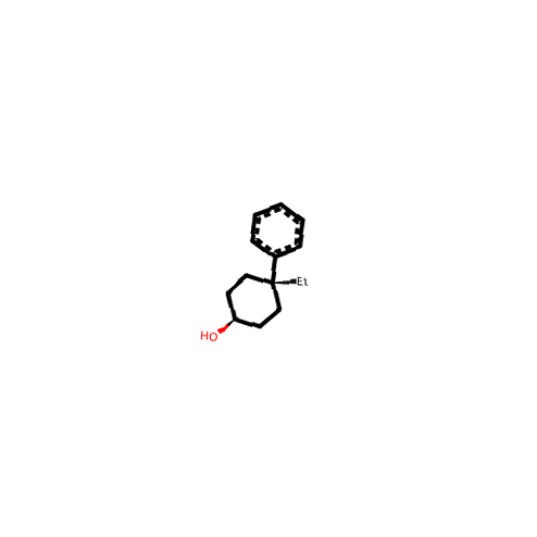 CC[C@]1(c2ccccc2)CC[C@H](O)CC1